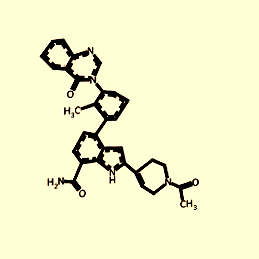 CC(=O)N1CC=C(c2cc3c(-c4cccc(-n5cnc6ccccc6c5=O)c4C)ccc(C(N)=O)c3[nH]2)CC1